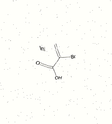 C=C(Br)C(=O)O.[In]